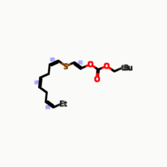 CC/C=C\C/C=C\C/C=C\S/C=C/OC(=O)OCC(C)(C)C